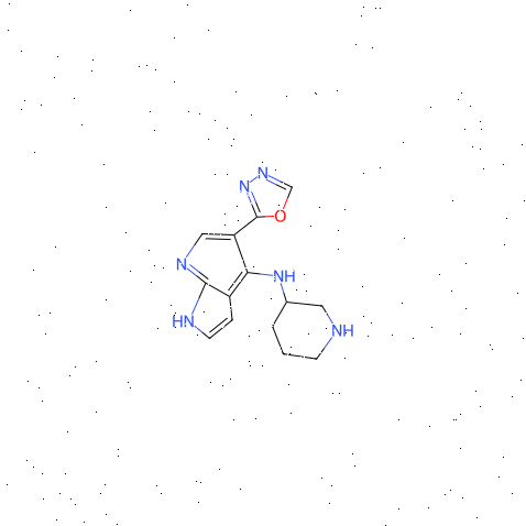 c1cc2c(NC3CCCNC3)c(-c3nnco3)cnc2[nH]1